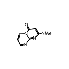 CNc1cc(=O)n2cccnc2n1